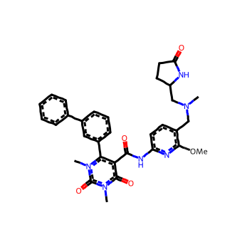 COc1nc(NC(=O)c2c(-c3cccc(-c4ccccc4)c3)n(C)c(=O)n(C)c2=O)ccc1CN(C)CC1CCC(=O)N1